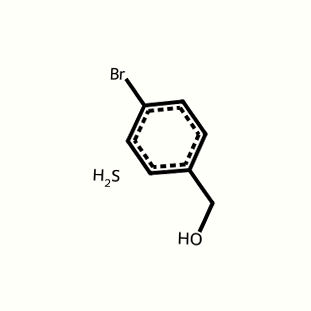 OCc1ccc(Br)cc1.S